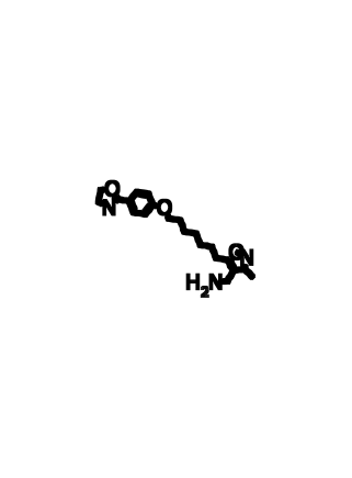 Cc1noc(CCCCCCCOc2ccc(C3=NCCO3)cc2)c1CN